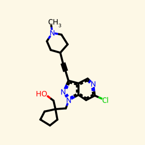 CN1CCC(C#Cc2nn(CC3(CO)CCCC3)c3cc(Cl)ncc23)CC1